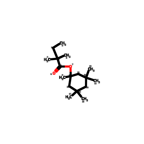 CCC(C)(C)C(=O)OC1(C)CC(C)(C)CC(C)(C)C1